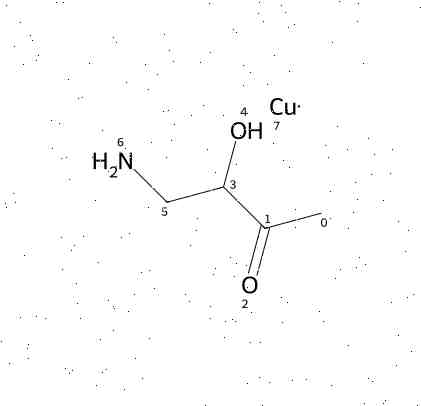 CC(=O)C(O)CN.[Cu]